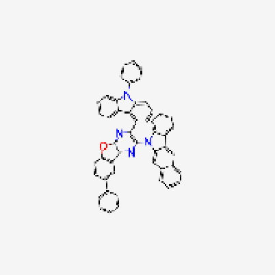 c1ccc(-c2ccc3oc4nc(-c5cccc6c5c5ccccc5n6-c5ccccc5)c(-n5c6ccccc6c6cc7ccccc7cc65)nc4c3c2)cc1